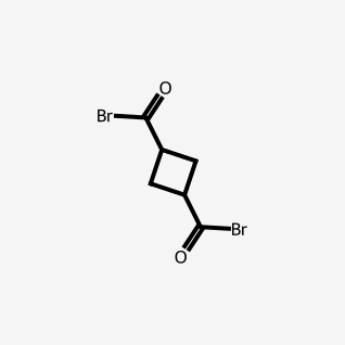 O=C(Br)C1CC(C(=O)Br)C1